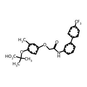 Cc1cc(OCC(=O)Nc2cccc(-c3ccc(C(F)(F)F)cc3)c2)ccc1OC(C)(C)C(=O)O